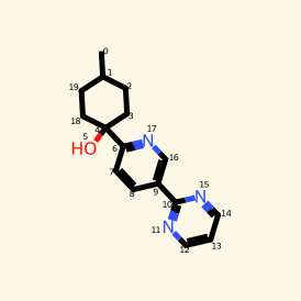 CC1CCC(O)(c2ccc(-c3ncccn3)cn2)CC1